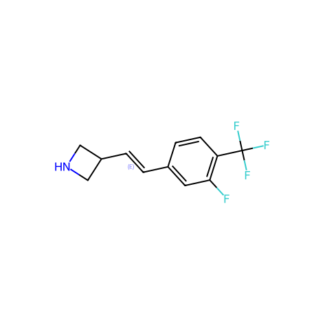 Fc1cc(/C=C/C2CNC2)ccc1C(F)(F)F